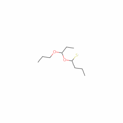 CCCOC(CC)OC([S])CCC